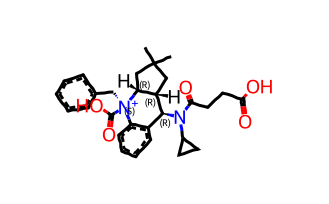 CC1(C)C[C@H]2[C@@H](C1)[N@+](Cc1ccccc1)(C(=O)O)c1ccccc1[C@@H]2N(C(=O)CCC(=O)O)C1CC1